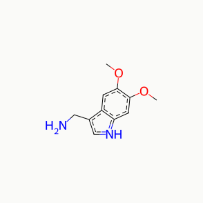 COc1cc2[nH]cc(CN)c2cc1OC